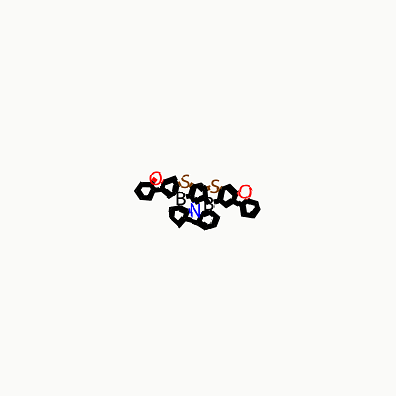 c1ccc2c(c1)oc1cc3c(cc12)B1c2c(cc4c5c2-n2c6c1cccc6c1cccc(c12)B5c1cc2c(cc1S4)oc1ccccc12)S3